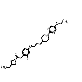 CCOc1cnc(N2CCC(CCCOc3ccc(CC(=O)N4CC(CO)C4)c(F)c3)CC2)nc1